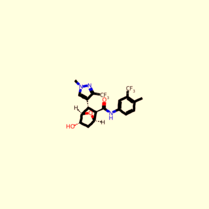 Cc1ccc(NC(=O)[C@@H]2[C@@H](c3cn(C)nc3C(F)(F)F)[C@H]3O[C@@H]2C[C@@H]3O)cc1C(F)(F)F